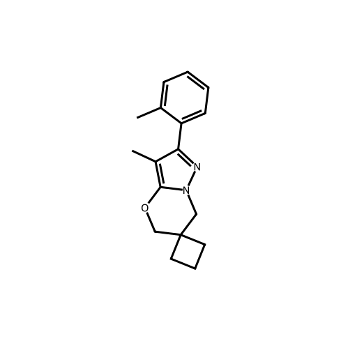 Cc1ccccc1-c1nn2c(c1C)OCC1(CCC1)C2